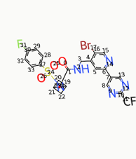 O=C(NCc1cc(-c2cnc(C(F)(F)F)nc2)ncc1Br)C1C2CC(C2)N1S(=O)(=O)c1ccc(F)cc1